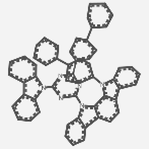 c1ccc(-c2ccc(-c3nc(-n4c5ccccc5c5ccccc54)nc(-n4c5ccccc5c5ccc6c7ccccc7n(-c7ccc(-c8ccccc8)cc7)c6c54)n3)cc2)cc1